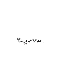 NCC#Cc1ccc(C#CCCCCN)o1